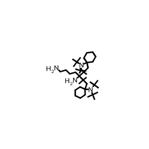 CC(C)(C)N(C(C)(C)C)C1(CC(C)(C)C(N)(CCCCN)C(C)(C)CC2(N(C(C)(C)C)C(C)(C)C)CCCCC2)CCCCC1